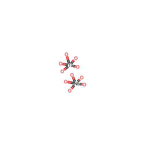 [O]=[Nb](=[O])(=[O])(=[O])=[O].[O]=[Ta](=[O])(=[O])(=[O])=[O]